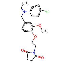 CCN(Cc1ccc(OCCN2C(=O)CCC2=O)c(OC)c1)c1ccc(Cl)cc1